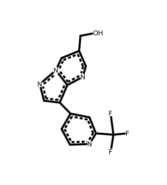 OCc1cnc2c(-c3ccnc(C(F)(F)F)c3)cnn2c1